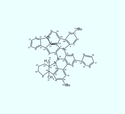 CC(C)(C)c1ccc(N2c3cc4oc5ccccc5c4cc3B3c4c(cc(-c5ccccc5)cc42)-c2cc(C(C)(C)C)cc4c2N3C2(C)CCCCC42C)c(-c2ccccc2)c1